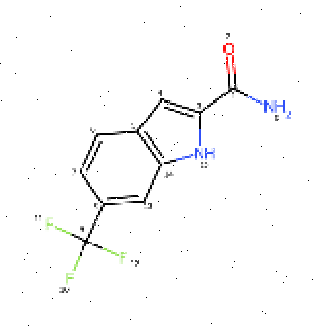 NC(=O)c1cc2ccc(C(F)(F)F)cc2[nH]1